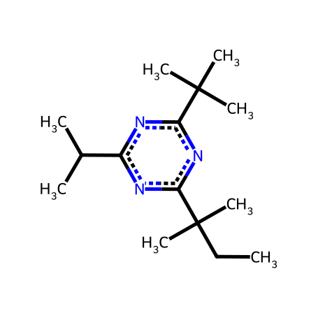 CCC(C)(C)c1nc(C(C)C)nc(C(C)(C)C)n1